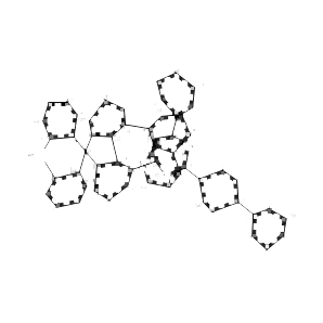 c1ccc(-c2ccc(-c3nc(-c4ccccc4)nc(-c4cccc5c4-c4c(-c6cccc7cccnc67)cccc4C54c5ccccc5Oc5ccccc54)n3)cc2)cc1